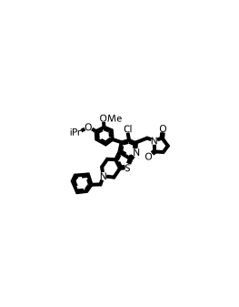 COc1cc(-c2c(Cl)c(CN3C(=O)CCC3=O)nc3sc4c(c23)CCN(Cc2ccccc2)C4)ccc1OC(C)C